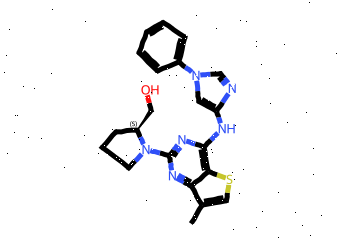 Cc1csc2c(Nc3cn(-c4ccccc4)cn3)nc(N3CCC[C@H]3CO)nc12